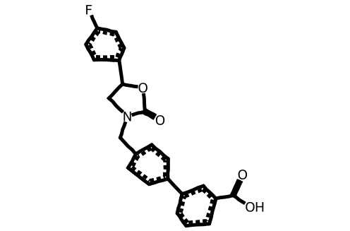 O=C(O)c1cccc(-c2ccc(CN3CC(c4ccc(F)cc4)OC3=O)cc2)c1